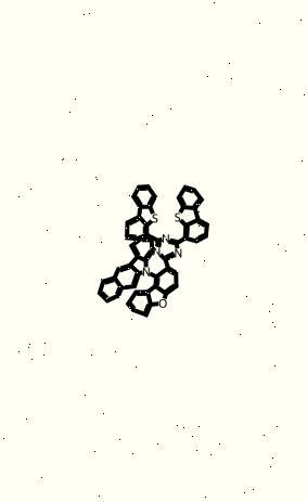 c1ccc2cc3c(cc2c1)c1ccccc1n3-c1c(-c2nc(-c3cccc4c3sc3ccccc34)nc(-c3cccc4c3sc3ccccc34)n2)ccc2oc3ccccc3c12